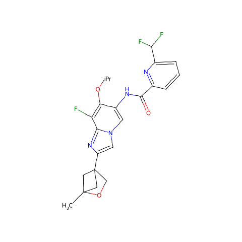 CC(C)Oc1c(NC(=O)c2cccc(C(F)F)n2)cn2cc(C34COC(C)(C3)C4)nc2c1F